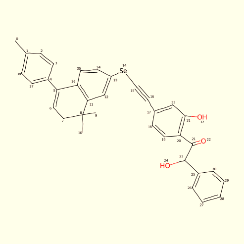 Cc1ccc(C2=CCC(C)(C)c3cc([Se]C#Cc4ccc(C(=O)C(O)c5ccccc5)c(O)c4)ccc32)cc1